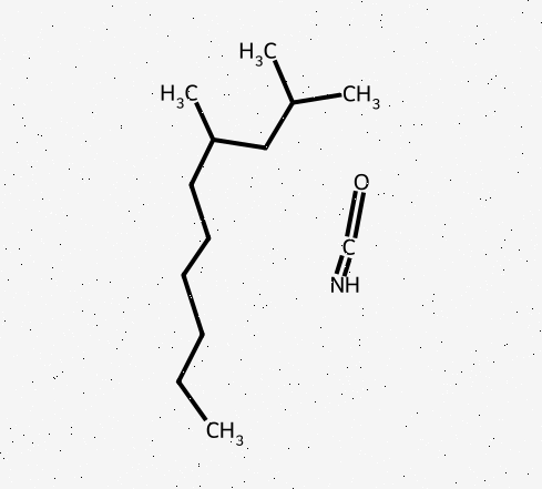 CCCCCCC(C)CC(C)C.N=C=O